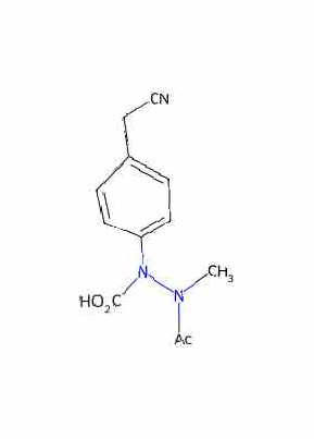 CC(=O)N(C)N(C(=O)O)c1ccc(CC#N)cc1